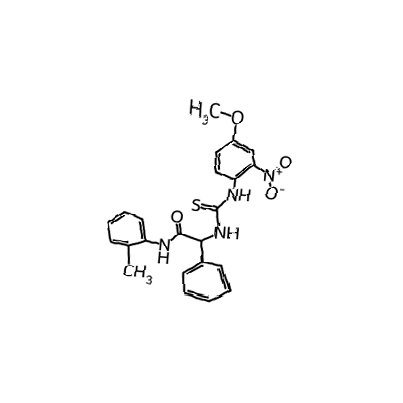 COc1ccc(NC(=S)NC(C(=O)Nc2ccccc2C)c2ccccc2)c([N+](=O)[O-])c1